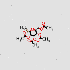 CS[C@H]1O[C@H](COC(C)=O)[C@@H](OC(C)=O)[C@H](OC(C)=O)[C@@H]1OC(C)=O